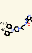 COc1ccc(N(Cc2cc(C#N)ccc2F)C2CCN(C(C)CCNC(=O)c3c(C)cncc3C)CC2)cc1